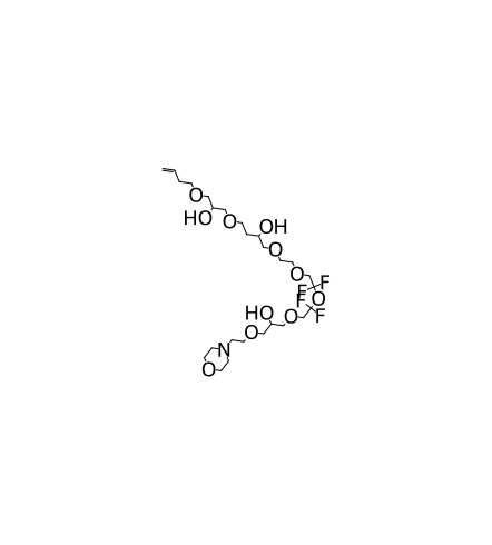 C=CCCOCC(O)COCCC(O)COCCOCC(F)(F)OC(F)(F)COCC(O)COCCN1CCOCC1